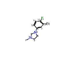 CCc1cc(N2CCN(C)C2)ccc1F